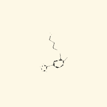 Cc1ccc(-c2nnn[nH]2)cc1OCCCN